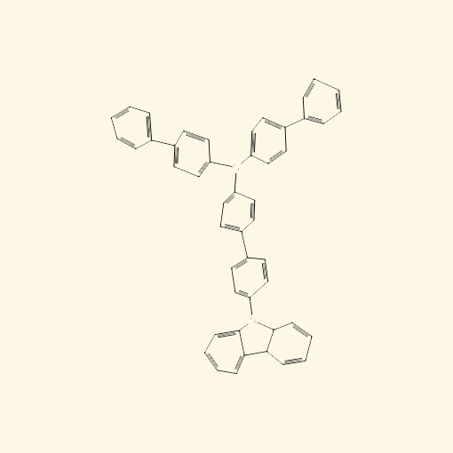 C1=CC2c3ccccc3N(c3ccc(-c4ccc(N(c5ccc(-c6ccccc6)cc5)c5ccc(-c6ccccc6)cc5)cc4)cc3)C2C=C1